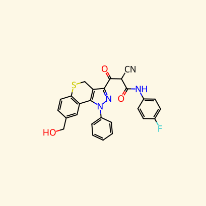 N#CC(C(=O)Nc1ccc(F)cc1)C(=O)c1nn(-c2ccccc2)c2c1CSc1ccc(CO)cc1-2